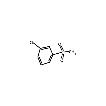 CS(=O)(=O)c1cccc(Cl)c1